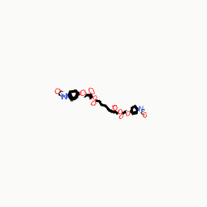 O=C=Nc1ccc(OCC(=O)COC(=O)CCCCC(=O)COC(=O)COc2ccc(N=C=O)cc2)cc1